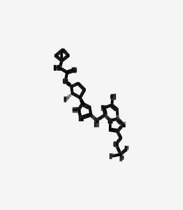 O=C(NC12CC(C1)C2)O[C@H]1CC[C@@H](c2cc(Nc3nc(Cl)cc4nc(COC(F)(F)F)cn34)n[nH]2)[C@@H]1F